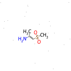 C/C(N)=C\S(C)(=O)=O